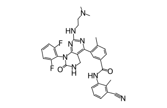 Cc1ccc(C(=O)Nc2cccc(C#N)c2C)cc1-c1nc(NCCN(C)C)nc2c1CNC(=O)N2c1c(F)cccc1F